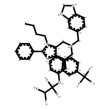 CCCCn1c(-c2ccccc2)nc(-c2ccc(C(F)(F)F)cc2)c1CN(Cc1cccc(OC(F)(F)C(F)F)c1)Cc1ccc2c(c1)OCO2